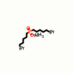 CC(C)CCCCCP(=O)(CCCCCC(C)C)[O][AlH2]